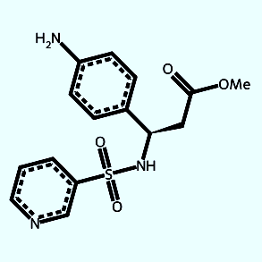 COC(=O)C[C@@H](NS(=O)(=O)c1cccnc1)c1ccc(N)cc1